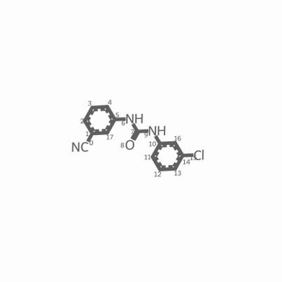 N#Cc1cccc(NC(=O)Nc2cccc(Cl)c2)c1